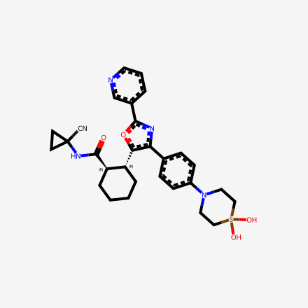 N#CC1(NC(=O)[C@@H]2CCCC[C@H]2c2oc(-c3cccnc3)nc2-c2ccc(N3CCS(O)(O)CC3)cc2)CC1